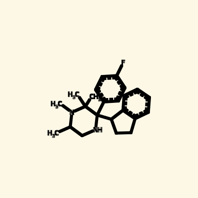 CC1CNC(c2ccc(F)cc2)(C2CCc3ccccc32)C(C)(C)N1C